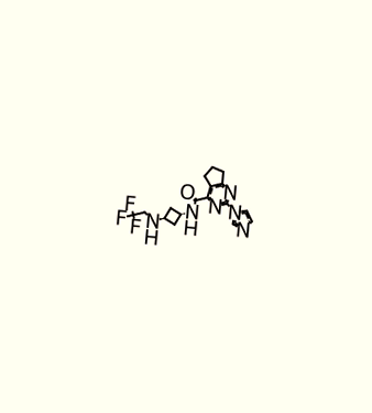 O=C(N[C@H]1C[C@H](NCC(F)(F)F)C1)c1nc(-n2ccnc2)nc2c1CCC2